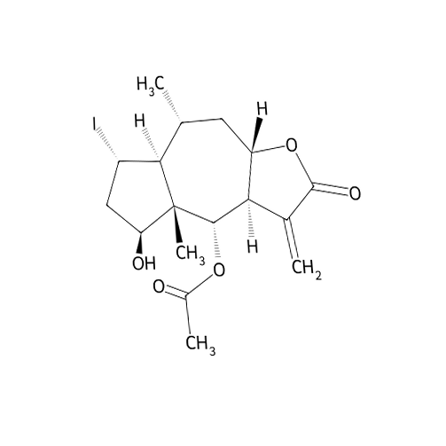 C=C1C(=O)O[C@H]2C[C@@H](C)[C@@H]3[C@@H](I)C[C@H](O)[C@@]3(C)[C@@H](OC(C)=O)[C@H]12